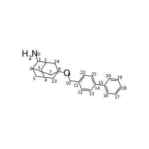 NC1C2CC3CC1CC(OCc1ccc(-c4ccccc4)cc1)(C3)C2